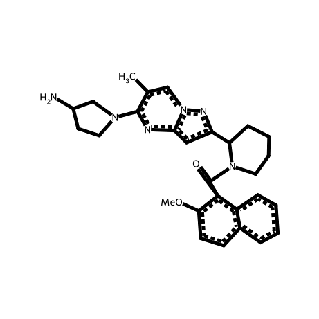 COc1ccc2ccccc2c1C(=O)N1CCCCC1c1cc2nc(N3CCC(N)C3)c(C)cn2n1